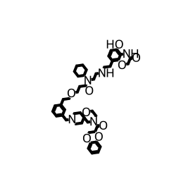 O=C1COc2c(CCNCCN(C(=O)CCOCCc3cccc(CN4CCC5(CC4)CN(C(=O)C4COc6ccccc6O4)CCO5)c3)C3CCCCC3)ccc(O)c2N1